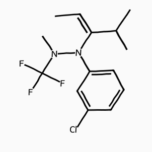 C/C=C(/C(C)C)N(c1cccc(Cl)c1)N(C)C(F)(F)F